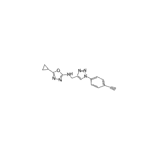 C#Cc1ccc(-n2cc(CNc3nnc(C4CC4)o3)nn2)cc1